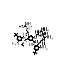 CCSc1c(N)cc(C(C)(C)C)cc1NC(=O)c1cc(C(=O)Nc2cc(C(C)(C)C)cc(N)c2SCCNC(=N)N)c(OCCNC(=N)N)cc1OCCNC(=N)N